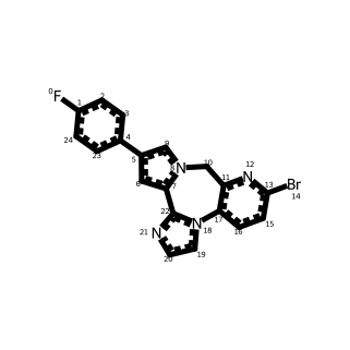 Fc1ccc(-c2cc3n(c2)Cc2nc(Br)ccc2-n2ccnc2-3)cc1